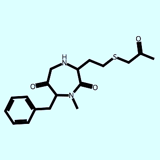 CC(=O)CSCCC1NCC(=O)C(Cc2ccccc2)N(C)C1=O